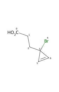 O=C(O)CCC1(Br)C=C1